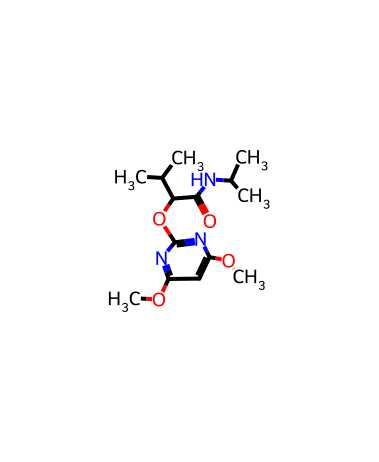 COc1cc(OC)nc(OC(C(=O)NC(C)C)C(C)C)n1